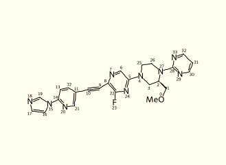 COC[C@H]1CN(c2cnc(C#Cc3ccc(-n4ccnc4)nc3)c(F)n2)CCN1c1ncccn1